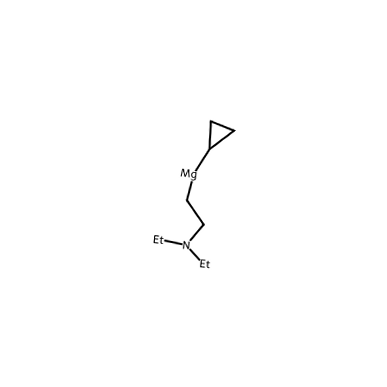 CCN(CC)C[CH2][Mg][CH]1CC1